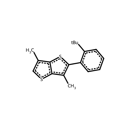 Cc1csc2c(C)c(-c3ccccc3C(C)(C)C)sc12